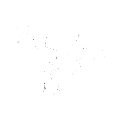 CCCCC1(c2ccc(CC(NS(=O)(=O)c3ccccn3)c3cccc(N(CC(=O)O)C(=O)OC(C)(C)C)n3)cc2)CC1